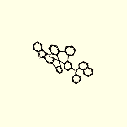 c1ccc(N(c2ccc3c(c2)-c2ccccc2-c2ccccc2C32c3ccccc3-c3cc4sc5ccccc5c4cc32)c2cccc3ccccc23)cc1